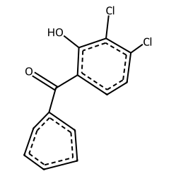 O=C(c1ccccc1)c1ccc(Cl)c(Cl)c1O